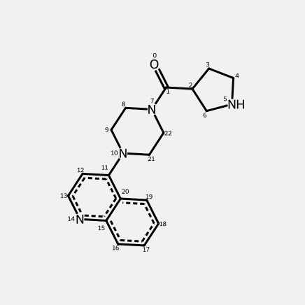 O=C(C1CCNC1)N1CCN(c2ccnc3ccccc23)CC1